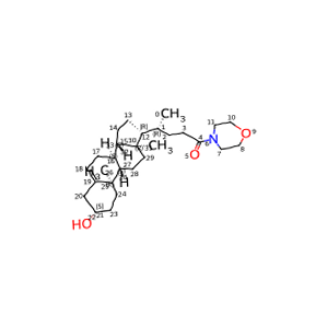 C[C@H](CCC(=O)N1CCOCC1)[C@H]1CC[C@H]2[C@@H]3CC=C4C[C@@H](O)CC[C@]4(C)[C@H]3CC[C@]12C